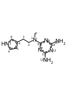 CN(CCc1cc[nH]c1)c1nc(N)nc(N)n1